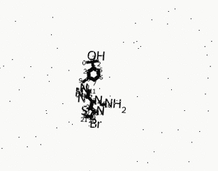 CC(C)(O)c1cccc(Cn2cc(-c3nc(N)nc4c(Br)csc34)nn2)c1